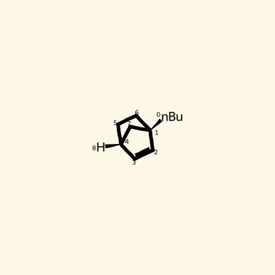 CCCC[C@]12C=C[C@H](CC1)C2